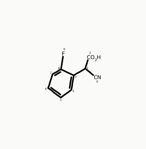 N#CC(C(=O)O)c1ccccc1F